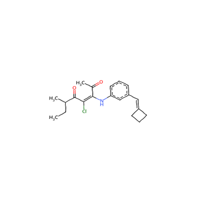 CCC(C)C(=O)/C(Cl)=C(/Nc1cccc(C=C2CCC2)c1)C(C)=O